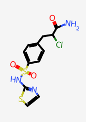 NC(=O)C(Cl)Cc1ccc(S(=O)(=O)Nc2nccs2)cc1